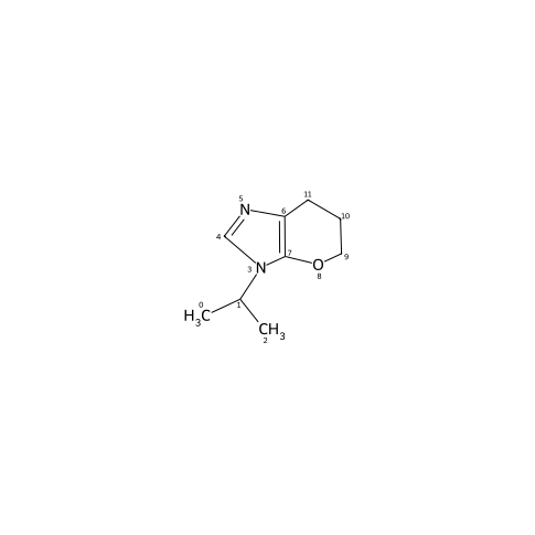 CC(C)n1cnc2c1OCCC2